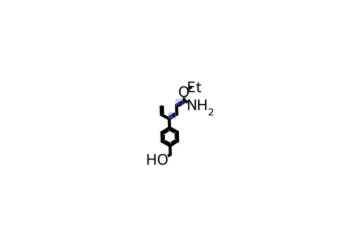 C=C/C(=C\C=C(/N)OCC)c1ccc(CO)cc1